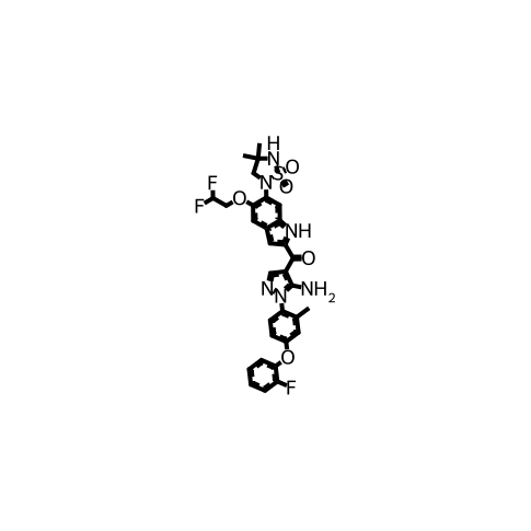 Cc1cc(Oc2ccccc2F)ccc1-n1ncc(C(=O)c2cc3cc(OCC(F)F)c(N4CC(C)(C)NS4(=O)=O)cc3[nH]2)c1N